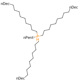 CCCCCCCCCCCCCCCCCCC[PH](CCCCC)(CCCCCCCCCCCCCCCCCCC)CCCCCCCCCCCCCCCCCCC